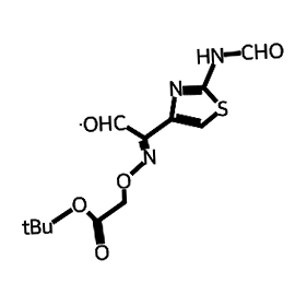 CC(C)(C)OC(=O)CON=C([C]=O)c1csc(NC=O)n1